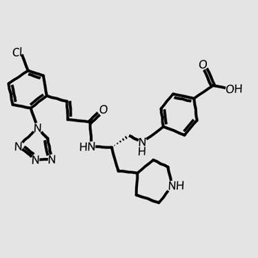 O=C(/C=C/c1cc(Cl)ccc1-n1cnnn1)N[C@H](CNc1ccc(C(=O)O)cc1)CC1CCNCC1